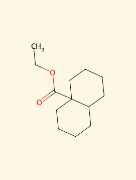 CCOC(=O)C12CCCCC1CCCC2